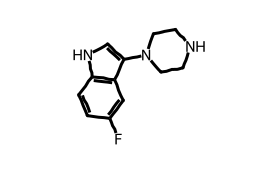 Fc1ccc2[nH]cc(N3CCNCC3)c2c1